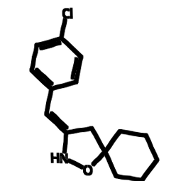 Clc1ccc(C=C2CC3(CCCCC3)ON2)cc1